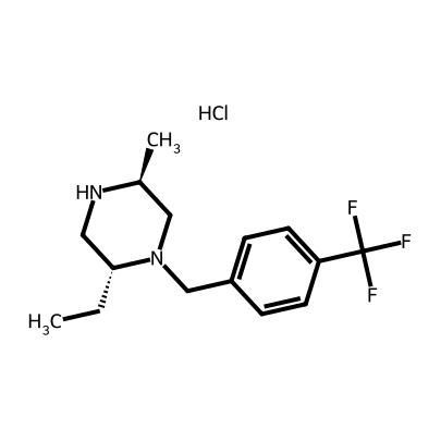 CC[C@@H]1CN[C@@H](C)CN1Cc1ccc(C(F)(F)F)cc1.Cl